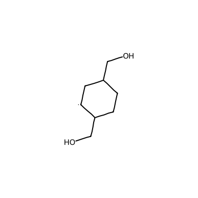 OCC1[CH]CC(CO)CC1